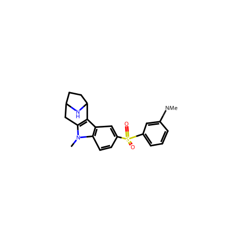 CNc1cccc(S(=O)(=O)c2ccc3c(c2)c2c(n3C)CC3CCC2N3)c1